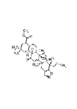 COC[C@]1(C)c2oncc2C[C@]2(C)C3=CC(=O)[C@@H]4[C@@H]5CC(C)(C)C[C@@H](C(=O)OC)C5CC[C@@]4(C)[C@]3(C)CC[C@H]21